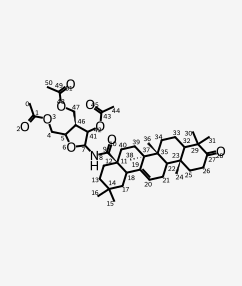 CC(=O)OCC1OC(NC(=O)[C@]23CCC(C)(C)CC2C2=CCC4[C@@]5(C)CCC(=O)C(C)(C)C5CC[C@@]4(C)[C@]2(C)CC3)C(OC(C)=O)[C@@H]1COC(C)=O